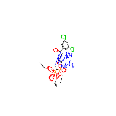 CCOP(=O)(OCC)C(CN(C(=N)N)C(=O)c1cc(Cl)cc(Cl)c1)P(=O)(OCC)OCC